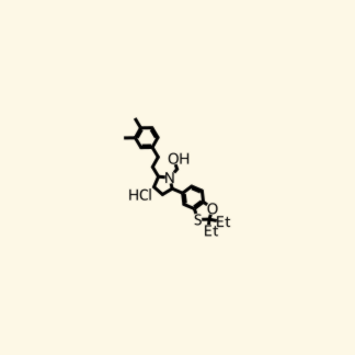 CCC1(CC)Oc2ccc(C3CCC(CCc4ccc(C)c(C)c4)N3CO)cc2S1.Cl